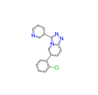 Clc1ccccc1-c1ccc2nnc(-c3cccnc3)n2c1